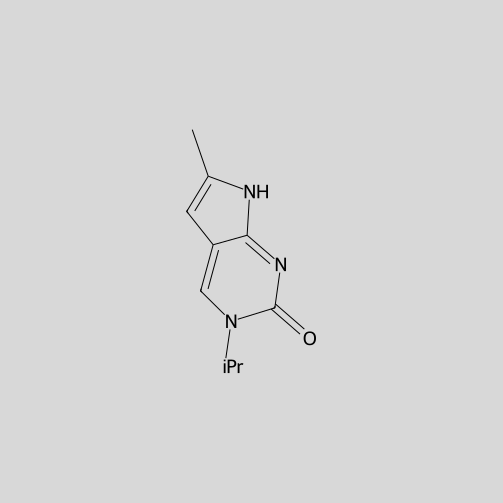 Cc1cc2cn(C(C)C)c(=O)nc2[nH]1